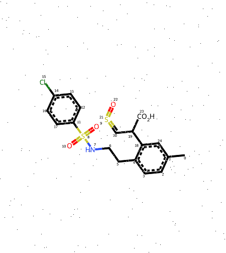 Cc1ccc(CCNS(=O)(=O)c2ccc(Cl)cc2)c(C(C=S=O)C(=O)O)c1